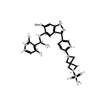 COc1cc2[nH]nc(-c3ccc(N4CC5(C4)CN(S(C)(=O)=O)C5)nc3)c2cc1OC(C)c1c(Cl)cnnc1Cl